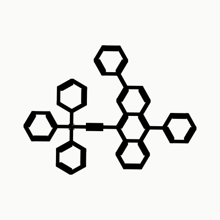 C(#C[Si](c1ccccc1)(c1ccccc1)C1C=CC=CC1)c1c2ccccc2c(-c2ccccc2)c2ccc(-c3ccccc3)cc12